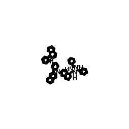 C1=CCC2C=C3C(=CC2=C1)N(C1=CC2=CC=CC(C4NC(c5ccccc5)NC(C5C=CC=CC5)N4)C2C=C1)C1C=CC(N2c4ccccc4C4C5=C(C=CCC5)C=CC42)=CC31